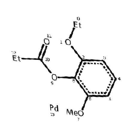 CCOc1cccc(OC)c1OC(=O)CC.[Pd]